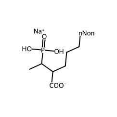 CCCCCCCCCCCCC(C(=O)[O-])C(C)P(=O)(O)O.[Na+]